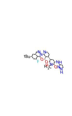 Cn1cc(-c2ccnc(-n3ncc4cc(C(C)(C)C)cc(F)c4c3=O)c2CO)cc(Nc2cc[nH]n2)c1=O